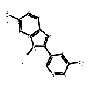 Cn1c(-c2cncc(C#N)c2)cc2ccc(Cl)cc21